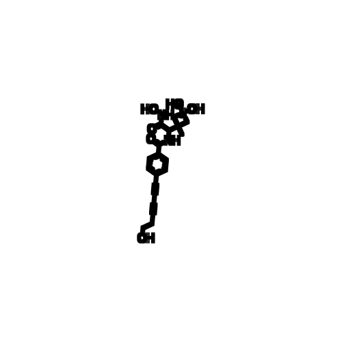 CC1(C(NC(=O)c2ccc(C#CC#CCCO)cc2)C(=O)NO)CS(O)(O)C1